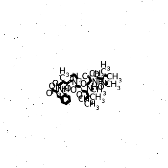 CC[C@H](C)[C@@H]([C@@H](CC(=O)N1CCC[C@H]1[C@H](OC)[C@@H](C)C(=O)N[C@@H](Cc1ccccc1)C(=O)O)OC)N(C)C(=O)[C@@H](NC(=O)[C@H](C(C)C)N(C)O)C(C)C